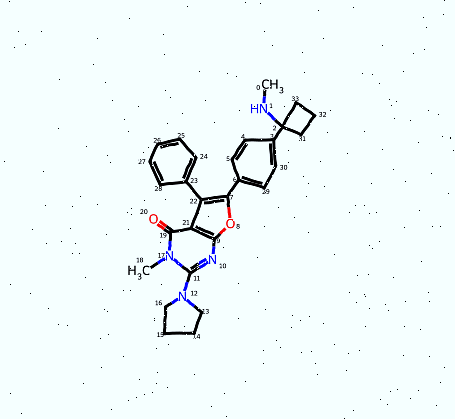 CNC1(c2ccc(-c3oc4nc(N5CCCC5)n(C)c(=O)c4c3-c3ccccc3)cc2)CCC1